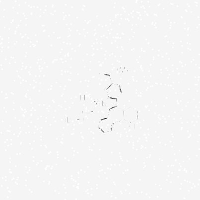 C=C(COOCCCC)n1c(-c2ccccc2CO)c(C2CCCCC2)c2ccc(C(=O)OC)cc21